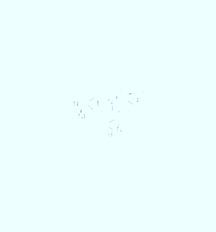 COc1cc(F)c(C(OC)C(=O)NCc2ccc(C(=N)N)cc2OCc2ccncc2)c(F)c1.Cl